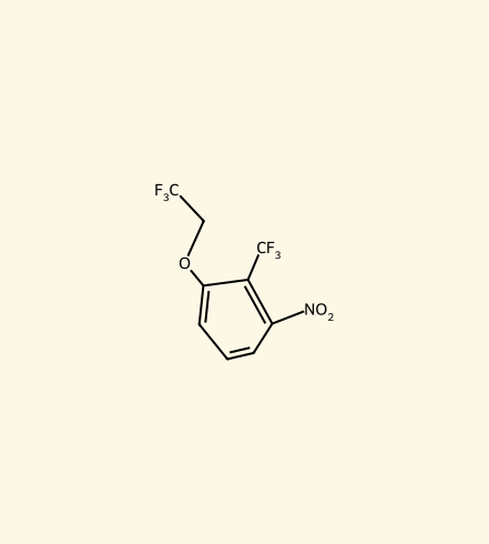 O=[N+]([O-])c1cccc(OCC(F)(F)F)c1C(F)(F)F